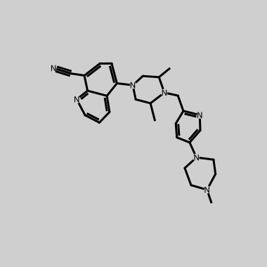 CC1CN(c2ccc(C#N)c3ncccc23)CC(C)N1Cc1ccc(N2CCN(C)CC2)cn1